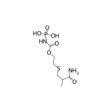 CC(CSCCOC(=O)NP(=O)(O)O)C(N)=O